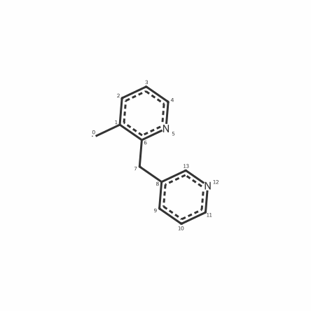 [CH2]c1cccnc1Cc1cccnc1